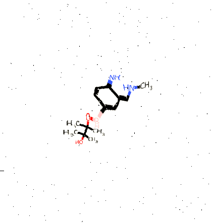 CN/C=C1/C=C(BOC(C)(C)C(C)(C)O)C=CC1=N